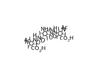 CC(=O)Nc1c(I)c(C(=O)N(C)C(=O)Nc2c(I)c(C(=O)O)c(I)c(N(C)C(C)=O)c2I)c(I)c(C(=O)N(C)C(=O)Nc2c(I)c(C(=O)O)c(I)c(N(C)C(C)=O)c2I)c1I